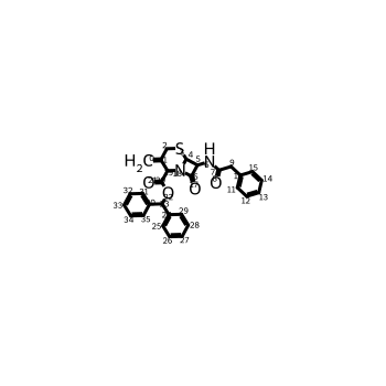 C=C1CSC2C(NC(=O)Cc3ccccc3)C(=O)N2C1C(=O)OC(c1ccccc1)c1ccccc1